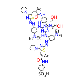 CCN(CC)c1ccc(/N=N/c2nc(N3CCCCC3)c(C=C(C(C)=O)C(=O)Nc3ccc(S(=O)(=O)O)cc3)s2)c(Nc2nc(Nc3cc(N(CC)CC)ccc3/N=N/c3nc(N4CCCCC4)c(/C=C(\C(C)=O)C(=O)Nc4ccc(S(=O)(=O)O)cc4)s3)nc(N(CCO)CCO)n2)c1